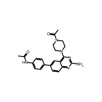 CC(=O)Nc1ccc(-c2ccc3nc(N)nc(N4CCN(C(C)=O)CC4)c3c2)cc1